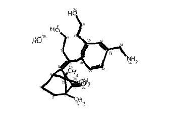 CC12CCC(C(=C(CCO)c3ccc(CN)cc3CCO)C1=O)C2(C)C.Cl